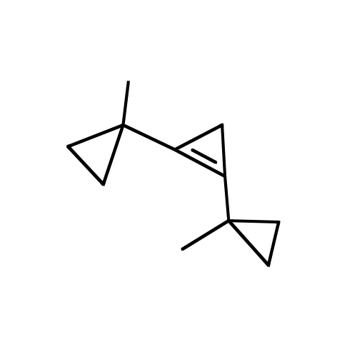 CC1(C2=C(C3(C)CC3)C2)CC1